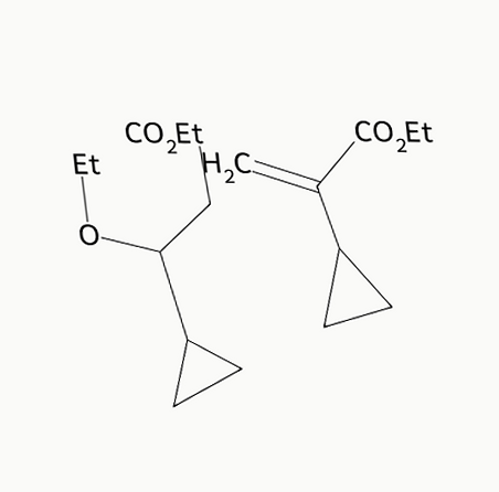 C=C(C(=O)OCC)C1CC1.CCOC(=O)CC(OCC)C1CC1